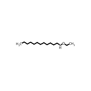 CCCCCCCCCCCCNOCC